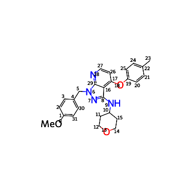 COc1ccc(Cn2nc(NC3CCOCC3)c3c(Oc4ccc(C)cc4)ccnc32)cc1